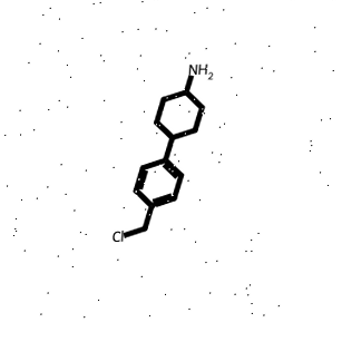 NC1CCC(c2ccc(CCl)cc2)CC1